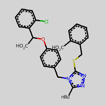 CCCCc1nnc(SCc2ccccc2C(=O)O)n1Cc1ccc(OC(C(=O)O)c2ccccc2Cl)cc1